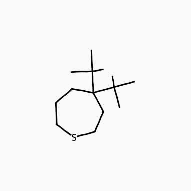 CC(C)(C)C1(C(C)(C)C)CCCSCC1